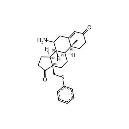 C[C@]12CCC(=O)C=C1CC(N)[C@H]1[C@@H]3CCC(=O)[C@@]3(CSc3ccccc3)CC[C@@H]12